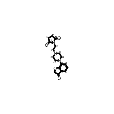 O=C1COc2c1cccc2N1CCN(CCN2C(=O)CCC2=O)CC1